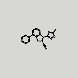 Cc1nc(C2c3cccc(-c4ccccc4)c3CN2C#N)no1